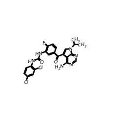 CC(C)n1cc(C(=O)c2ccc(F)c(NC(=O)Nc3ccc(Cl)cc3Cl)c2)c2c(N)ncnc21